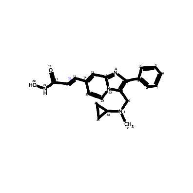 CN(Cc1c(-c2ccccc2)nc2cc(/C=C/C(=O)NO)ccn12)C1CC1